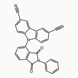 N#Cc1ccc2c(c1)c1cc(C#N)ccc1n2-c1cccc2c1C(=O)N(c1ccccc1)C2=O